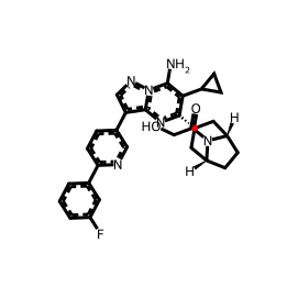 Nc1c(C2CC2)c([C@H]2C[C@H]3CC[C@@H](C2)N3C(=O)CO)nc2c(-c3ccc(-c4cccc(F)c4)nc3)cnn12